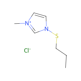 CCCSn1cc[n+](C)c1.[Cl-]